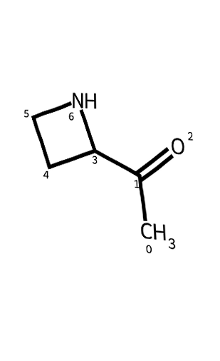 CC(=O)C1CCN1